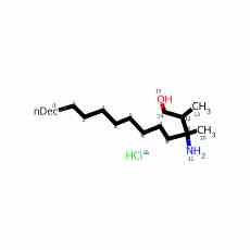 CCCCCCCCCCCCCCCCCCC(C)(N)C(C)CO.Cl